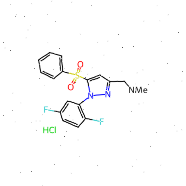 CNCc1cc(S(=O)(=O)c2ccccc2)n(-c2cc(F)ccc2F)n1.Cl